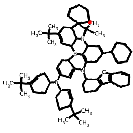 CC(C)(C)C1=CCC(N(C2=CCC3B4C5=C(CC(C6CCCCC6)CC5N5C6C4C=C(C(C)(C)C)CC6C4(CCCCC4)C5(C)C)N(C4CCCc5c4oc4c5CCC=C4)C3=C2)C2C=CC(C(C)(C)C)CC2)CC1